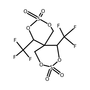 O=S1(=O)OCC2(COS(=O)(=O)OC2C(F)(F)F)C(C(F)(F)F)O1